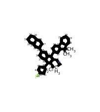 C=Cc1c(/C=C\C)c(-c2ccc3c(c2)C(C)(C)c2ccccc2-3)c2cc(-c3ccc4ccccc4c3)ccc2c1-c1ccc(F)cc1